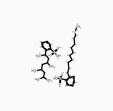 CC(C)CC(C)CC(C)CC(C)c1ccccc1S(=O)(=O)O.CCCCCCCCCCCCc1ccccc1S(=O)(=O)O